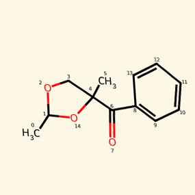 CC1OCC(C)(C(=O)c2ccccc2)O1